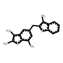 Cc1sc2c(C)cc(Cc3sc4ccccc4c3C)cc2c1C